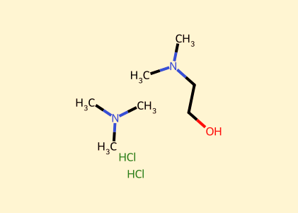 CN(C)C.CN(C)CCO.Cl.Cl